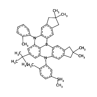 C[SiH2]c1ccc(C)c(N2c3cc4c(cc3B3c5cc6c(cc5N(c5ccccc5C)c5cc(C(C)(C)C)cc2c53)CC(C)(C)C6)CC(C)(C)C4)c1